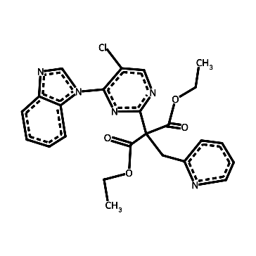 CCOC(=O)C(Cc1ccccn1)(C(=O)OCC)c1ncc(Cl)c(-n2cnc3ccccc32)n1